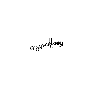 O=C(Nc1ccc(C2CCN(C(=O)CC3CCOCC3)CC2)cc1)[C@H]1CCN(c2cccnn2)C1